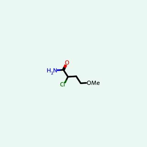 COCCC(Cl)C(N)=O